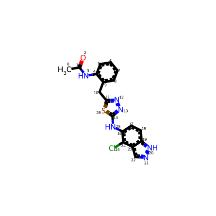 CC(=O)Nc1ccccc1Cc1nnc(Nc2ccc3[nH]ncc3c2Cl)s1